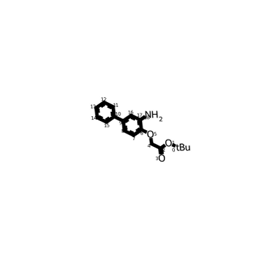 CC(C)(C)OC(=O)COc1ccc(-c2ccccc2)cc1N